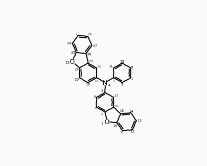 c1ccc(N(c2ccc3oc4ccccc4c3c2)c2ccc3oc4ccccc4c3c2)cc1